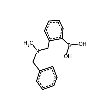 CN(Cc1ccccc1)Cc1ccccc1B(O)O